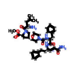 COC(=O)[C@@H]1CCCN1C(=O)[C@@H](N)CC(C)C.NC(=O)/C=C/[C@H](CCc1ccccc1)NC(=O)[C@H](Cc1ccccc1)NC(=O)N1CCOCC1